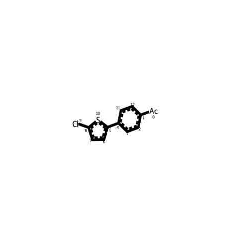 [CH2]C(=O)c1ccc(-c2ccc(Cl)s2)cc1